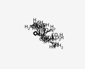 N=C(N)NCCC[C@H](NC(=O)[C@H](CS)NC(=O)[C@H](Cc1c[nH]c2ccccc12)NC(=O)[C@H](CCCCN)NC(=O)[C@H](CO)NC(=O)[C@H](CO)NC(=O)[C@H](CS)NC(=O)CN)C(=O)N[C@@H](CC(=O)O)C(=O)O